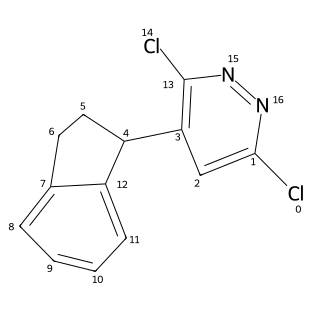 Clc1cc(C2CCc3ccccc32)c(Cl)nn1